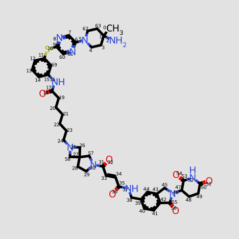 CC1(N)CCN(c2cnc(Sc3cccc(NC(=O)CCCCCCN4CC5(CCN(C(=O)/C=C/C(=O)NCc6ccc7c(c6)CN(C6CCC(=O)NC6=O)C7=O)C5)C4)c3)cn2)CC1